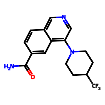 NC(=O)c1ccc2cncc(N3CCC(C(F)(F)F)CC3)c2c1